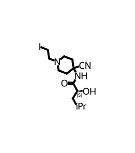 CC(C)C[C@H](O)C(=O)NC1(C#N)CCN(CCI)CC1